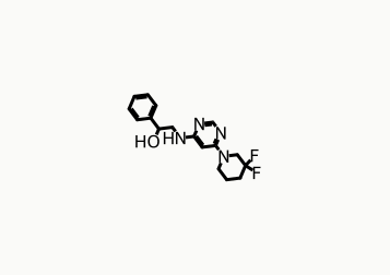 OC(CNc1cc(N2CCCC(F)(F)C2)ncn1)c1ccccc1